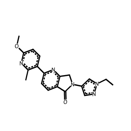 CCn1cc(N2Cc3nc(-c4ccc(OC)nc4C)ccc3C2=O)cn1